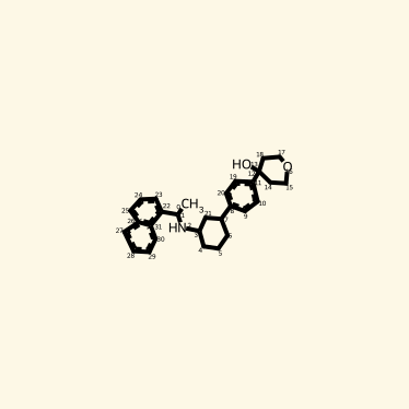 CC(NC1CCCC(c2ccc(C3(O)CCOCC3)cc2)C1)c1cccc2ccccc12